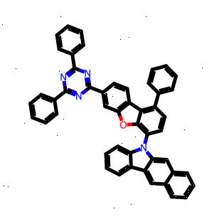 c1ccc(-c2nc(-c3ccccc3)nc(-c3ccc4c(c3)oc3c(-n5c6ccccc6c6cc7ccccc7cc65)ccc(-c5ccccc5)c34)n2)cc1